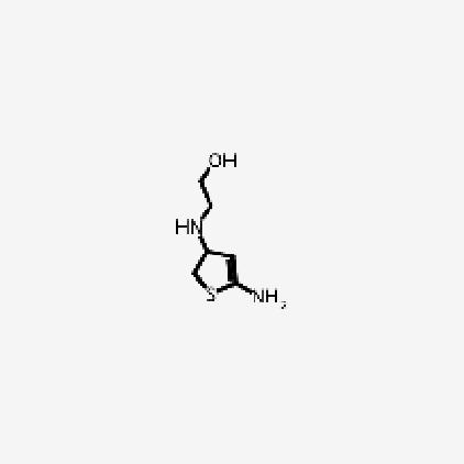 NC1=CC(NCCO)CS1